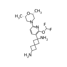 C[C@@H]1CN(c2ccc(C3(N)CC4(CC(N)C4)C3)c(OC(F)F)n2)C[C@H](C)O1